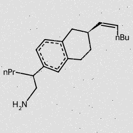 CCCC/C=C\[C@H]1CCc2cc(C(CN)CCC)ccc2C1